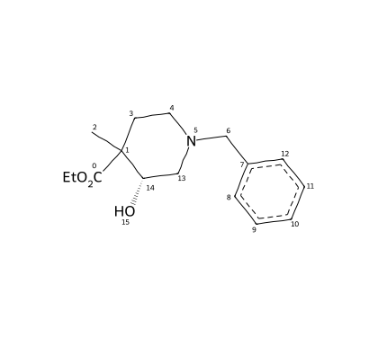 CCOC(=O)C1(C)CCN(Cc2ccccc2)C[C@@H]1O